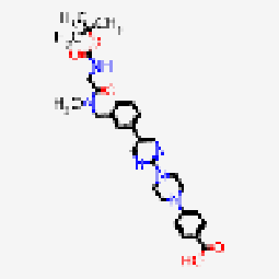 CN(Cc1cccc(-c2cnc(N3CCN(c4ccc(C(=O)O)cc4)CC3)nc2)c1)C(=O)CNC(=O)OC(C)(C)C